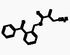 C=C(CC(=O)O)C(=O)OCc1ccccc1C(=O)c1ccccc1